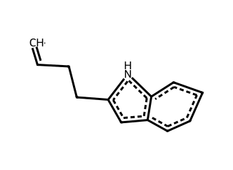 [CH]=CCCc1cc2ccccc2[nH]1